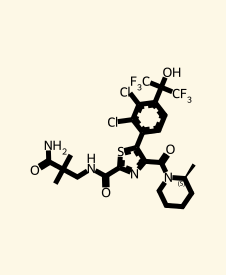 C[C@H]1CCCCN1C(=O)c1nc(C(=O)NCC(C)(C)C(N)=O)sc1-c1ccc(C(O)(C(F)(F)F)C(F)(F)F)c(Cl)c1Cl